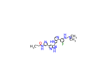 CCCC(=O)Nc1cncc(-c2cnc3[nH]nc(-c4cc5c(-c6cc(F)cc(NCCN(C)C)c6)nccc5[nH]4)c3c2)c1